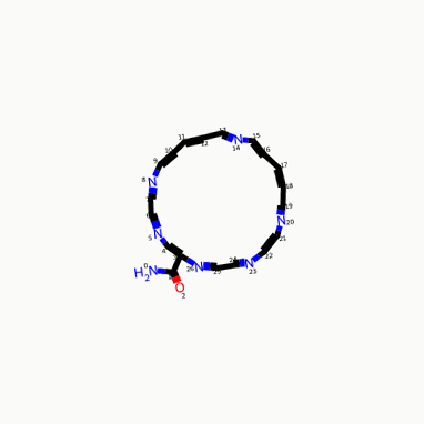 NC(=O)C1=CN=CC=NC=CC=CC=NC=CC=CC=NC=CN=CC=N1